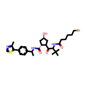 Cc1ncsc1-c1ccc(C(C)NC(=O)[C@@H]2C[C@@H](O)CC2C(=O)C(NC(=O)CCCCCBr)C(C)(C)C)cc1